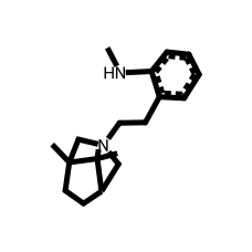 CNc1ccccc1CCN1CC2CCC(C)(C1)C2(C)C